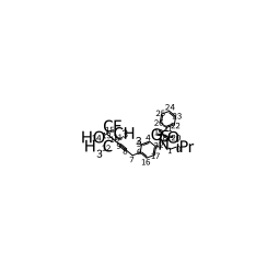 CC(C)CN(c1ccc(CC#CC(C)(C)C(O)C(F)(F)F)cc1)S(=O)(=O)c1ccccc1